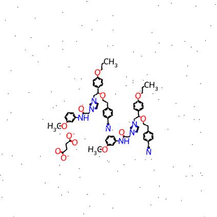 CCCOc1ccc(C(Cn2cc[n+](CC(=O)Nc3cccc(OC)c3)c2)OCCc2ccc(C#N)cc2)cc1.CCCOc1ccc(C(Cn2cc[n+](CC(=O)Nc3cccc(OC)c3)c2)OCCc2ccc(C#N)cc2)cc1.O=C([O-])CCC(=O)[O-]